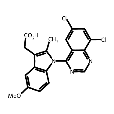 COc1ccc2c(c1)c(CC(=O)O)c(C)n2-c1ncnc2c(Cl)cc(Cl)cc12